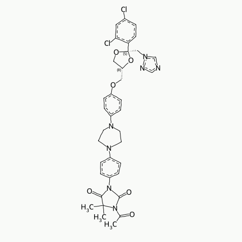 CC(=O)N1C(=O)N(c2ccc(N3CCN(c4ccc(OC[C@@H]5CO[C@@](Cn6cncn6)(c6ccc(Cl)cc6Cl)O5)cc4)CC3)cc2)C(=O)C1(C)C